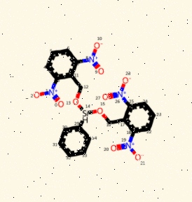 O=[N+]([O-])c1cccc([N+](=O)[O-])c1CO[SiH](OCc1c([N+](=O)[O-])cccc1[N+](=O)[O-])c1ccccc1